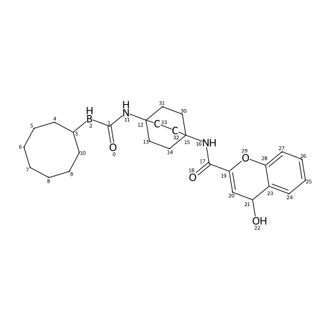 O=C(BC1CCCCCCC1)NC12CCC(NC(=O)C3=CC(O)c4ccccc4O3)(CC1)CC2